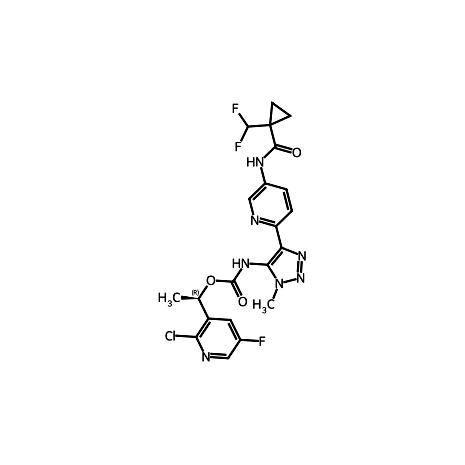 C[C@@H](OC(=O)Nc1c(-c2ccc(NC(=O)C3(C(F)F)CC3)cn2)nnn1C)c1cc(F)cnc1Cl